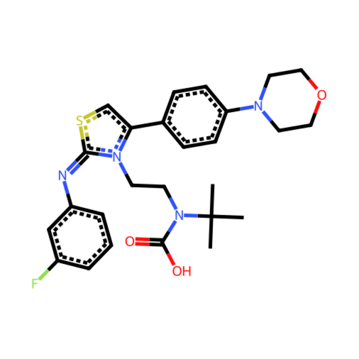 CC(C)(C)N(CCn1c(-c2ccc(N3CCOCC3)cc2)cs/c1=N/c1cccc(F)c1)C(=O)O